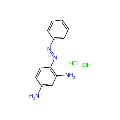 Cl.Cl.Nc1ccc(/N=N/c2ccccc2)c(N)c1